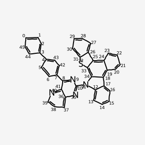 c1ccc(-c2ccc(-c3nc(-n4c5ccccc5c5c6ccccc6c6c7ccccc7sc6c54)nc4cccnc34)cc2)cc1